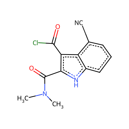 CN(C)C(=O)c1[nH]c2cccc(C#N)c2c1C(=O)Cl